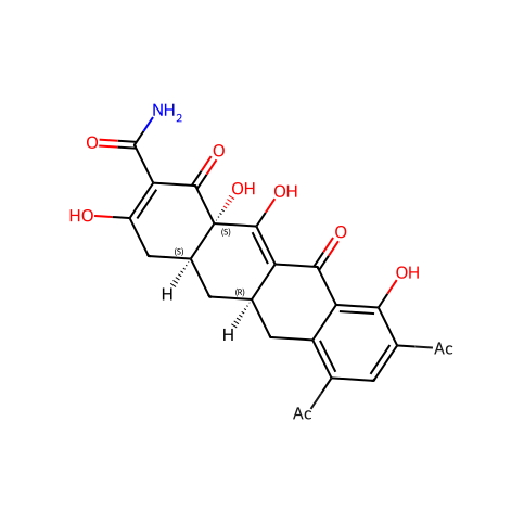 CC(=O)c1cc(C(C)=O)c2c(c1O)C(=O)C1=C(O)[C@]3(O)C(=O)C(C(N)=O)=C(O)C[C@@H]3C[C@@H]1C2